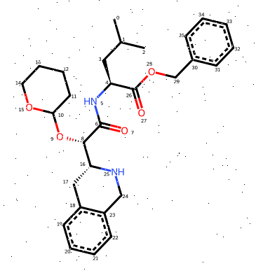 CC(C)C[C@H](NC(=O)[C@@H](OC1CCCCO1)[C@H]1Cc2ccccc2CN1)C(=O)OCc1ccccc1